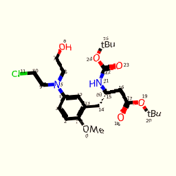 COc1ccc(N(CCO)CCCl)cc1C[C@@H](CC(=O)OC(C)(C)C)NC(=O)OC(C)(C)C